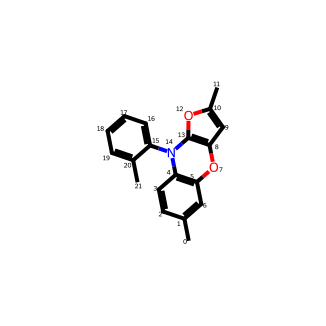 Cc1ccc2c(c1)Oc1cc(C)oc1N2c1ccccc1C